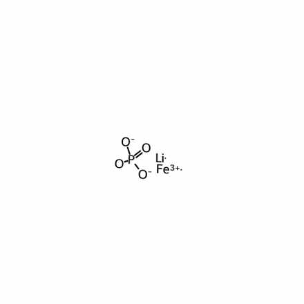 O=P([O-])([O-])[O-].[Fe+3].[Li]